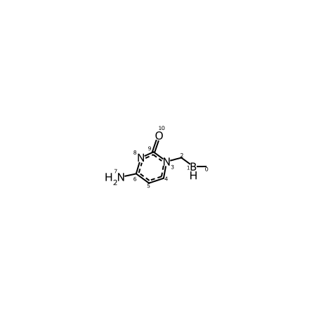 CBCn1ccc(N)nc1=O